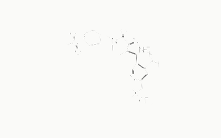 CCn1nc(C(=O)NC[C@H]2CC[C@@H](S(C)(=O)=O)CC2)c(C)c1-c1cnc(CC(C)(C)C(F)(F)F)cc1C(F)F